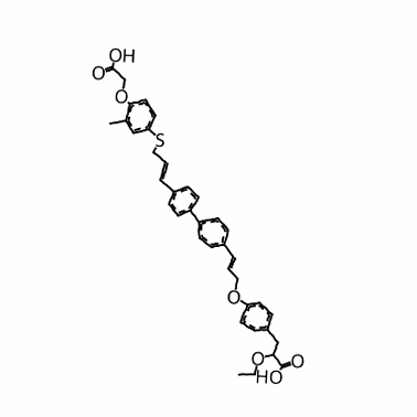 CCOC(Cc1ccc(OC/C=C/c2ccc(-c3ccc(/C=C/CSc4ccc(OCC(=O)O)c(C)c4)cc3)cc2)cc1)C(=O)O